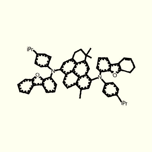 Cc1cc(N(c2ccc(C(C)C)cc2)c2cccc3c4c(oc23)CCC=C4)c2cc3c4c(cc(N(c5ccc(C(C)C)cc5)c5cccc6c5oc5ccccc56)c5ccc1c2c54)CCC3(C)C